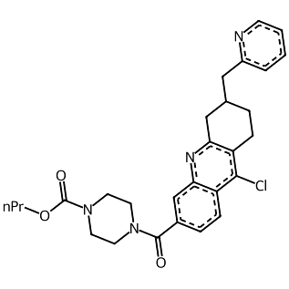 CCCOC(=O)N1CCN(C(=O)c2ccc3c(Cl)c4c(nc3c2)CC(Cc2ccccn2)CC4)CC1